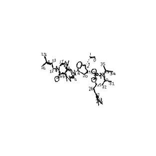 CC[C@H]1O[C@@H](n2cnc3c(=O)n(CC=C(C)C)cnc32)C[C@H]1OP(OCCC#N)N(C(C)C)C(C)C